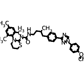 Cc1cc(C)c(N2CCCS/C2=N\C(=O)NCCC(C)Cc2ccc(-c3ncn(-c4ccc(OC(F)(F)F)cc4)n3)cc2)c(C)c1